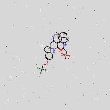 CC1=C/CC/C=C(C2CCN=C3C[C@]4(CCc5cc(OCC(F)(F)F)ccc54)NC(=O)C3=C2NC(=O)CS(C)(=O)=O)/C=C\1